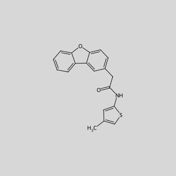 Cc1csc(NC(=O)Cc2ccc3oc4ccccc4c3c2)c1